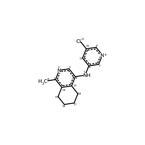 Cc1ncc(Nc2cncc(Cl)c2)c2c1CCCC2